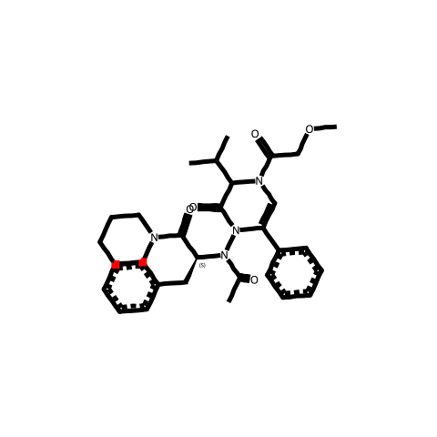 COCC(=O)N1C=C(c2ccccc2)N(N(C(C)=O)[C@@H](Cc2ccccc2)C(=O)N2CCCCC2)C(=O)C1C(C)C